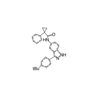 CC(C)(C)c1ccc(-c2n[nH]c3ccc(NC(=O)C4(c5ccccc5)CC4)cc23)cc1